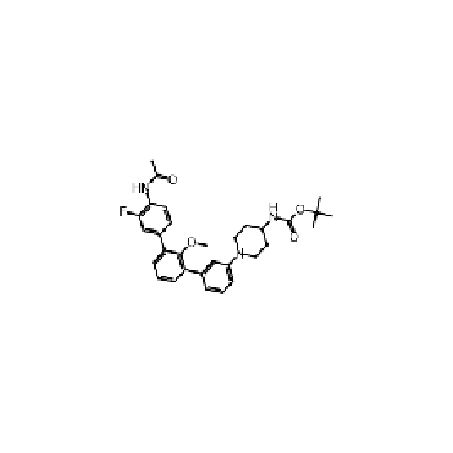 COc1c(-c2cccc(N3CCC(NC(=O)OC(C)(C)C)CC3)c2)cccc1-c1ccc(NC(C)=O)c(F)c1